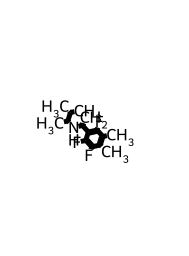 C=C(NC(C)C(C)C)c1c(F)c(C)c(C)c(F)c1F